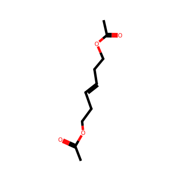 CC(=O)OCCC=CCCOC(C)=O